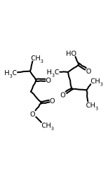 CC(C)C(=O)C(C)C(=O)O.COC(=O)CC(=O)C(C)C